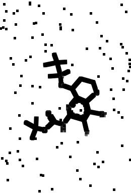 CC(C)(C)OC(=O)Nc1nc2c(c(Br)c1F)OCCC2O[Si](C)(C)C(C)(C)C